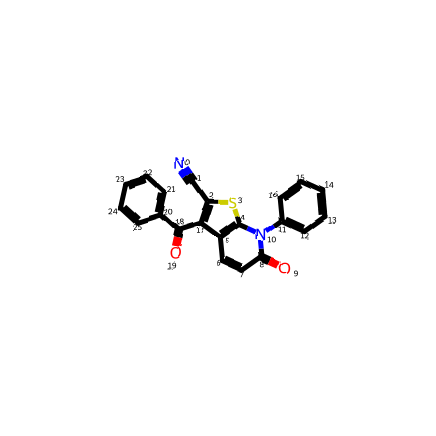 N#Cc1sc2c(ccc(=O)n2-c2ccccc2)c1C(=O)c1ccccc1